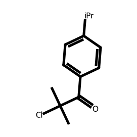 CC(C)c1ccc(C(=O)C(C)(C)Cl)cc1